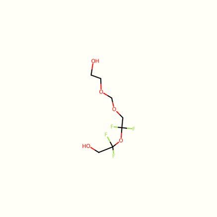 OCCOCOCC(F)(F)OC(F)(F)CO